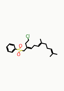 CC(C)=CCC/C(C)=C/C/C=C(\CCCl)CS(=O)(=O)c1ccccc1